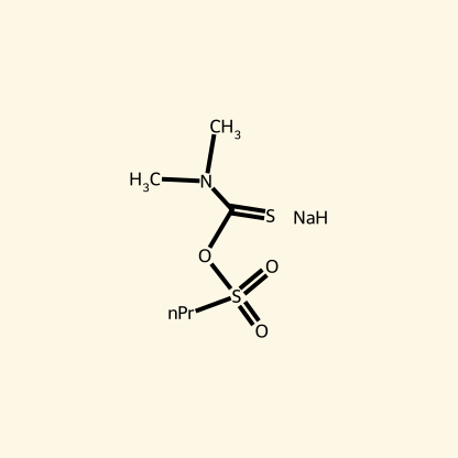 CCCS(=O)(=O)OC(=S)N(C)C.[NaH]